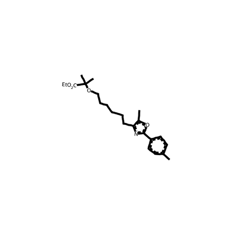 CCOC(=O)C(C)(C)OCCCCCCc1nc(-c2ccc(C)cc2)oc1C